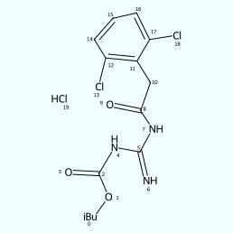 CCC(C)OC(=O)NC(=N)NC(=O)Cc1c(Cl)cccc1Cl.Cl